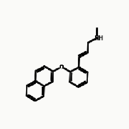 CNCC=Cc1ccccc1Oc1ccc2ccccc2c1